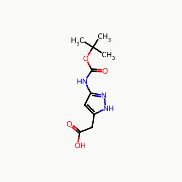 CC(C)(C)OC(=O)Nc1cc(CC(=O)O)[nH]n1